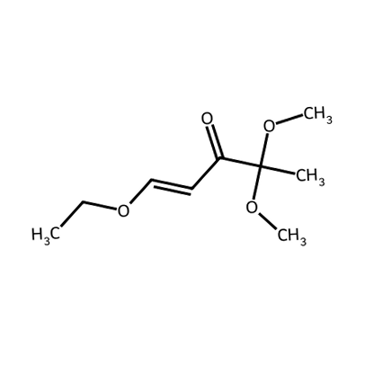 CCO/C=C/C(=O)C(C)(OC)OC